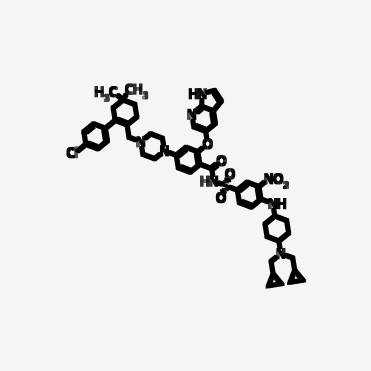 CC1(C)CCC(CN2CCN(c3ccc(C(=O)NS(=O)(=O)c4ccc(NC5CCC(N(CC6CC6)CC6CC6)CC5)c([N+](=O)[O-])c4)c(Oc4cnc5[nH]ccc5c4)c3)CC2)=C(c2ccc(Cl)cc2)C1